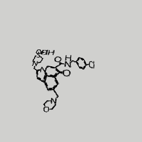 O=C(NCc1ccc(Cl)cc1)c1cn2c(CN3CCS(O)(O)CC3)cc3cc(CN4CCOCC4)cc(c1=O)c32